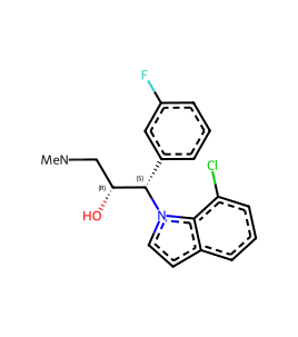 CNC[C@@H](O)[C@H](c1cccc(F)c1)n1ccc2cccc(Cl)c21